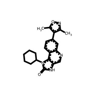 Cc1noc(C)c1-c1ccc2c(c1)ncc1[nH]c(=O)n(C3CCCCC3)c12